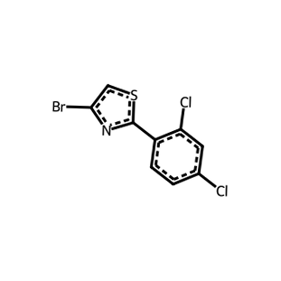 Clc1ccc(-c2nc(Br)cs2)c(Cl)c1